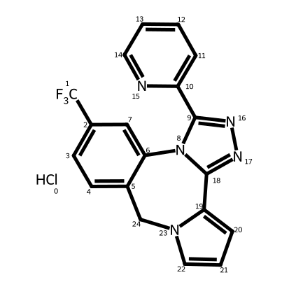 Cl.FC(F)(F)c1ccc2c(c1)-n1c(-c3ccccn3)nnc1-c1cccn1C2